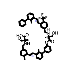 Cc1ccc(CNC(C)(CO)C(=O)O)cc1/C=C/c1cccc(-c2cccc(OC(=O)[C@@](C)(CO)NCc3ccc(C(F)(F)F)c(/C=C/c4cccc(-c5ccccc5)c4C)c3)c2)c1C